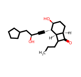 CCCC1C(=O)[C@@H]2CC[C@H](O)[C@@H](C#C[C@@H](O)CC3CCCC3)[C@H]12